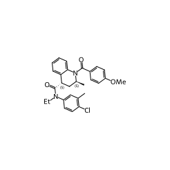 CCN(C(=O)[C@H]1C[C@H](C)N(C(=O)c2ccc(OC)cc2)c2ccccc21)c1ccc(Cl)c(C)c1